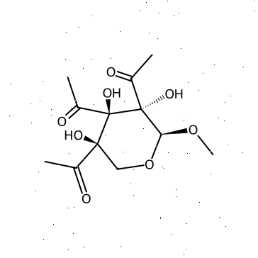 CO[C@H]1OC[C@](O)(C(C)=O)[C@](O)(C(C)=O)[C@@]1(O)C(C)=O